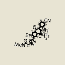 CCc1cc2c(cc1-c1cnn(CC(=O)NC)c1)C(C)(C)c1[nH]c3cc(C#N)ccc3c1C2=O